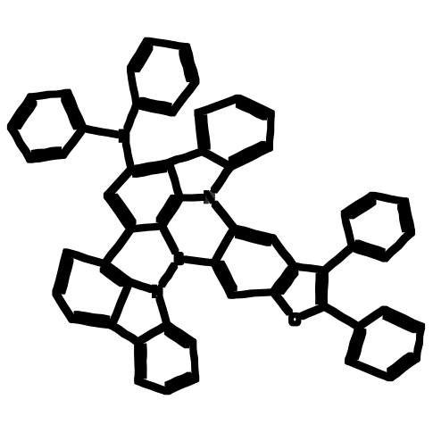 c1ccc(-c2oc3cc4c(cc3c2-c2ccccc2)-n2c3ccccc3c3c(N(c5ccccc5)c5ccccc5)cc5c(c32)B4n2c3ccccc3c3cccc-5c32)cc1